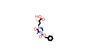 C[C@H]1C(=O)N(CC[C@H](F)C(=O)O)CCN1C(=O)OCc1ccccc1